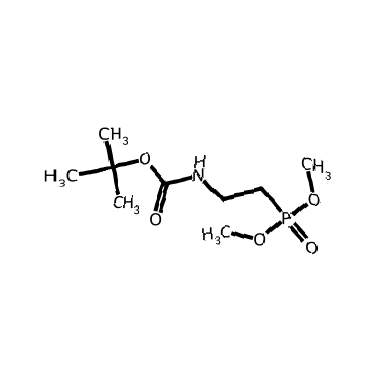 COP(=O)(CCNC(=O)OC(C)(C)C)OC